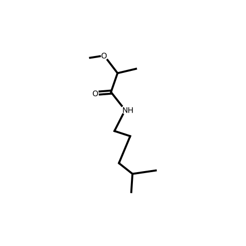 COC(C)C(=O)NCCCC(C)C